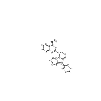 CC/N=C(\N=C(/I)c1cccc2c1c1ccccc1n2-c1ccccc1)c1ccccc1